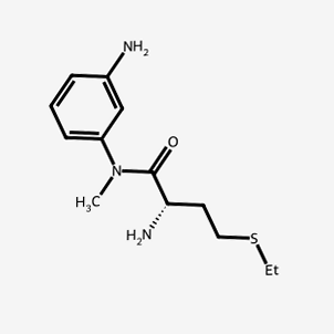 CCSCC[C@H](N)C(=O)N(C)c1cccc(N)c1